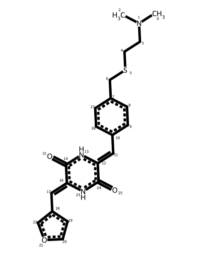 CN(C)CCSCc1ccc(C=c2[nH]c(=O)c(=Cc3ccoc3)[nH]c2=O)cc1